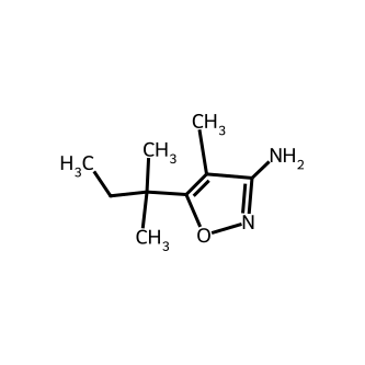 CCC(C)(C)c1onc(N)c1C